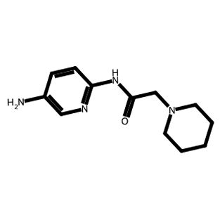 Nc1ccc(NC(=O)CN2CCCCC2)nc1